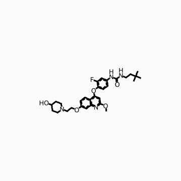 COc1cc(Oc2ccc(NC(=O)NCCC(C)(C)C)cc2F)c2ccc(OCCN3CCC(O)CC3)cc2n1